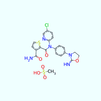 CS(=O)(=O)O.N=C1OCCN1c1ccc(N(C(=O)c2sccc2C(N)=O)c2ccc(Cl)cn2)cc1